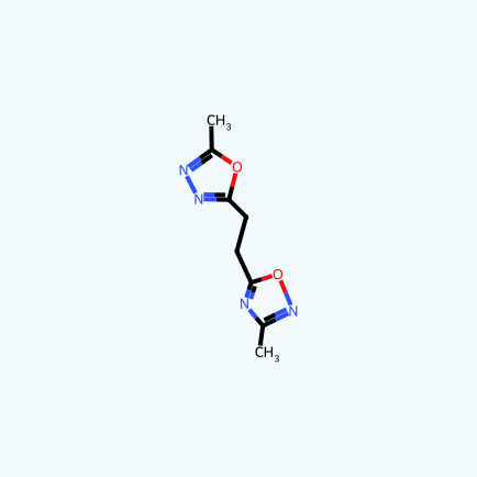 Cc1noc(CCc2nnc(C)o2)n1